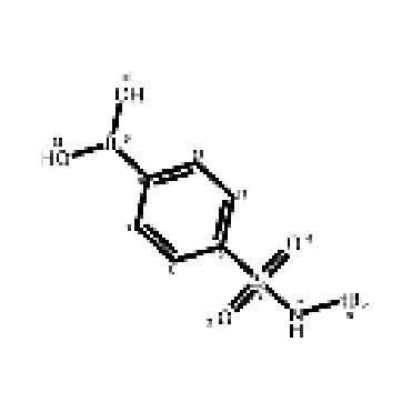 CC(C)(C)NS(=O)(=O)c1ccc(B(O)O)cc1